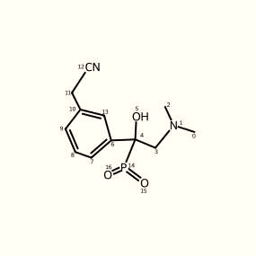 CN(C)CC(O)(c1cccc(CC#N)c1)P(=O)=O